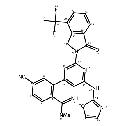 CNC(=N)c1ccc(C#N)cc1-c1cc(Nc2ncco2)nc(N2Cc3c(cccc3C(C)(F)F)C2=O)c1